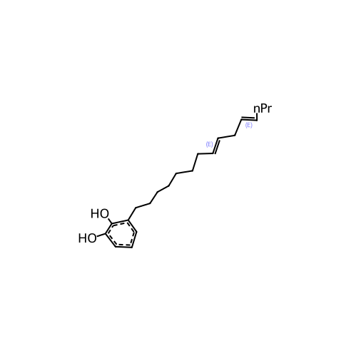 CCC/C=C/C/C=C/CCCCCCCc1cccc(O)c1O